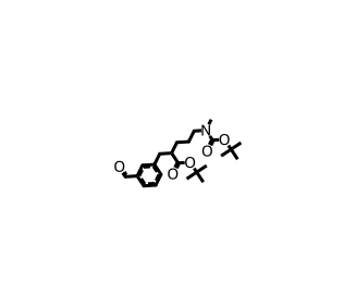 CN(CCCC(Cc1cccc(C=O)c1)C(=O)OC(C)(C)C)C(=O)OC(C)(C)C